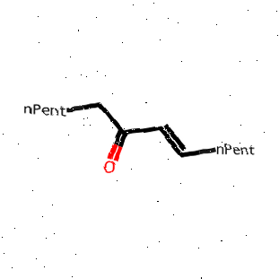 CCCCCC=CC(=O)CCCCCC